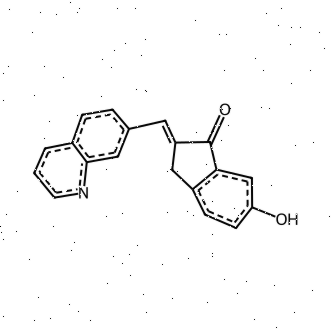 O=C1C(=Cc2ccc3cccnc3c2)Cc2ccc(O)cc21